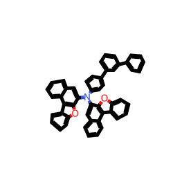 c1ccc(-c2cccc(-c3ccc(N(c4cc5ccccc5c5c4oc4ccccc45)c4cc5ccccc5c5c4oc4ccccc45)cc3)c2)cc1